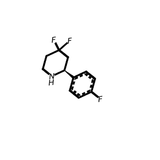 Fc1ccc([C@@H]2CC(F)(F)CCN2)cc1